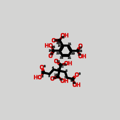 O=C(O)CCC(CCC(=O)O)(C(=O)O)C(=O)O.O=C(O)c1ccc(C(=O)O)c(C(=O)O)c1